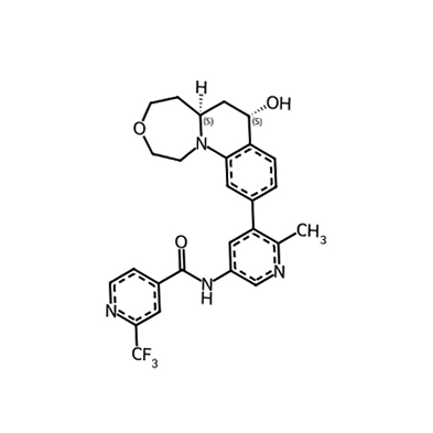 Cc1ncc(NC(=O)c2ccnc(C(F)(F)F)c2)cc1-c1ccc2c(c1)N1CCOCC[C@H]1C[C@@H]2O